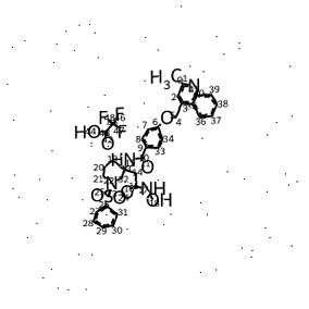 Cc1cc(COc2ccc(C(=O)NC3(CC(=O)NO)CCCN(S(=O)(=O)c4ccccc4)C3)cc2)c2ccccc2n1.O=C(O)C(F)(F)F